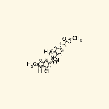 CCOC(=O)CCc1ccc(-c2noc(-c3cc(Cl)c4[nH]c(C)cc4c3)n2)c(C)c1